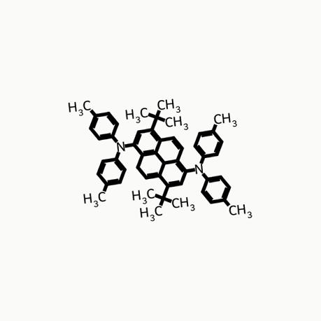 Cc1ccc(N(C2=C3C=Cc4c(C(C)(C)C)cc(N(c5ccc(C)cc5)c5ccc(C)cc5)c5c4C3C(=CC5)C(C(C)(C)C)=C2)c2ccc(C)cc2)cc1